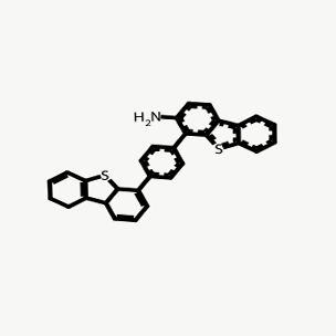 Nc1ccc2c(sc3ccccc32)c1-c1ccc(C2=CC=CC3C4=C(C=CCC4)SC23)cc1